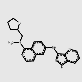 CN(CC1CCCO1)c1nccc2cc(Nc3n[nH]c4cccnc34)ccc12